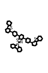 c1ccc2c(c1)sc1c(-c3ccc(-c4ccc(-c5ccc(-c6cccc7c6sc6ccccc67)cc5)c5sc(-n6c7ccccc7c7ccccc76)nc45)cc3)cccc12